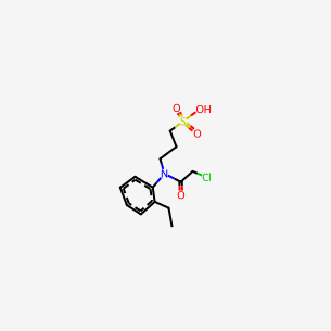 CCc1ccccc1N(CCCS(=O)(=O)O)C(=O)CCl